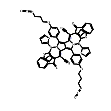 N#C/C(C1=Nc2ccccc2C1=O)=c1\c2c(-c3ccc(OCCCN=C=O)cc3)n(B(c3cccs3)c3cccs3)/c(=C(/C#N)C3=Nc4ccccc4C3=O)c2c(-c2ccc(OCCCN=C=O)cc2)n1B(c1cccs1)c1cccs1